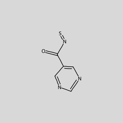 O=C(N=S)c1cncnc1